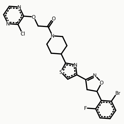 O=C(COc1nccnc1Cl)N1CCC(c2nc(C3=NOC(c4c(F)cccc4Br)C3)cs2)CC1